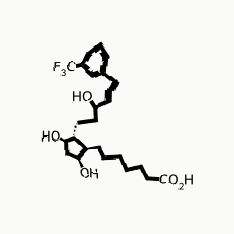 O=C(O)CCCCCC[C@@H]1[C@@H](CCC(O)C=C=Cc2cccc(C(F)(F)F)c2)[C@H](O)C[C@@H]1O